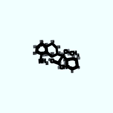 CO[C@@](C(=O)O)(c1ccccc1)C1CCc2cccc(N)c2C1